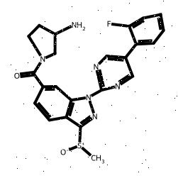 C[S+]([O-])c1nn(-c2ncc(-c3ccccc3F)cn2)c2cc(C(=O)N3CCC(N)C3)ccc12